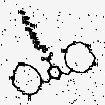 Br.Br.Br.Br.Br.Br.Br.Br.O.O.O=[N+]([O-])c1cc(CN2CCCNCCNCCCNCC2)cc(CN2CCCNCCNCCCNCC2)c1